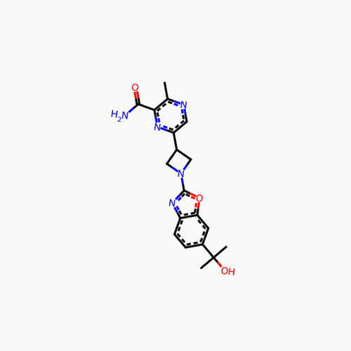 Cc1ncc(C2CN(c3nc4ccc(C(C)(C)O)cc4o3)C2)nc1C(N)=O